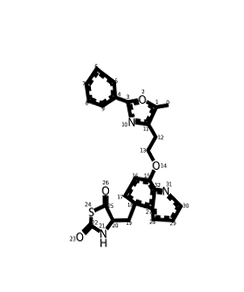 Cc1oc(-c2ccccc2)nc1CCOc1ccc(CC2NC(=O)SC2=O)c2cccnc12